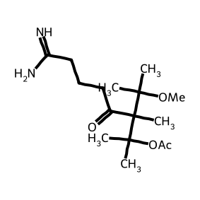 COC(C)(C)C(C)(C(=O)CCCC(=N)N)C(C)(C)OC(C)=O